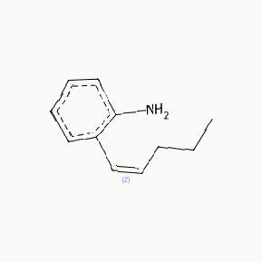 CCC/C=C\c1ccccc1N